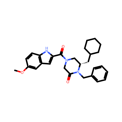 COc1ccc2[nH]c(C(=O)N3CC(=O)N(Cc4ccccc4)[C@@H](CC4CCCCC4)C3)cc2c1